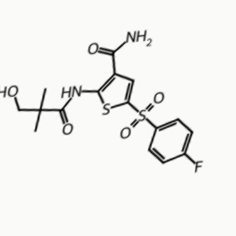 CC(C)(CO)C(=O)Nc1sc(S(=O)(=O)c2ccc(F)cc2)cc1C(N)=O